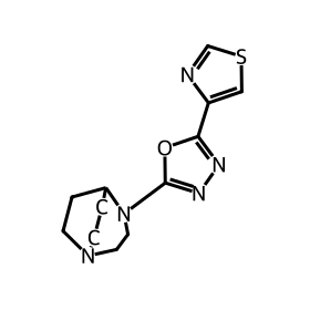 c1nc(-c2nnc(N3CCN4CCC3CC4)o2)cs1